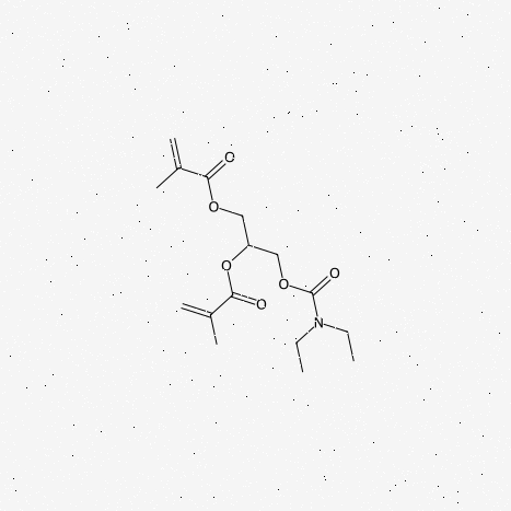 C=C(C)C(=O)OCC(COC(=O)N(CC)CC)OC(=O)C(=C)C